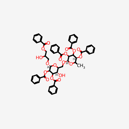 CC1O[C@@H](OCC2O[C@@H](OCC(O)COC(=O)c3ccccc3)C(OC(=O)c3ccccc3)C(OC(=O)c3ccccc3)[C@H]2O)C(OC(=O)c2ccccc2)C(OC(=O)c2ccccc2)[C@H]1OC(=O)c1ccccc1